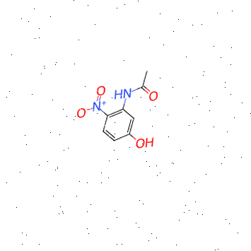 CC(=O)Nc1cc(O)ccc1[N+](=O)[O-]